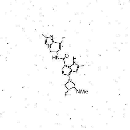 CNC1CN(c2ccc(C(=O)Nc3cc(F)c4nc(C)cn4c3)c3[nH]c(C)cc23)CC1F